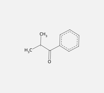 C[C](C)C(=O)c1ccccc1